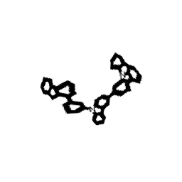 c1cc(-c2cccc3c2Cc2ccccc2-3)cc(-n2c3ccccc3c3cc(-c4ccc5c6cccc7c8ccccc8n(c5c4)c76)ccc32)c1